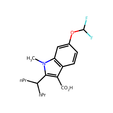 CCCC(CCC)c1c(C(=O)O)c2ccc(OC(F)F)cc2n1C